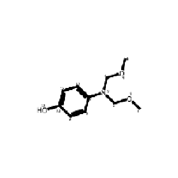 COCN(COC)c1ccc(O)cc1